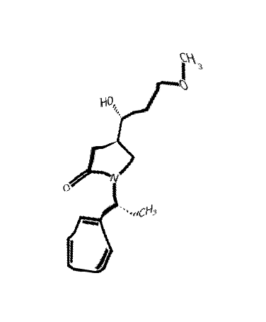 COCC[C@@H](O)[C@@H]1CC(=O)N([C@H](C)c2ccccc2)C1